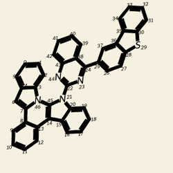 c1ccc2c(c1)cc1c3ccccc3c3c4ccccc4n(-c4nc(-c5ccc6sc7ccccc7c6c5)c5ccccc5n4)c3n21